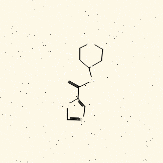 O=C(NC1CCOCC1)c1cnc[nH]1